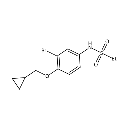 CCS(=O)(=O)Nc1ccc(OCC2CC2)c(Br)c1